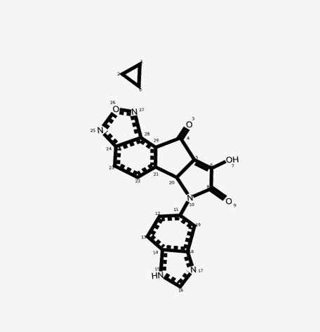 C1CC1.O=C1C2=C(O)C(=O)N(c3ccc4[nH]cnc4c3)C2c2ccc3nonc3c21